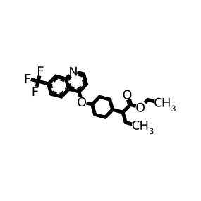 CCOC(=O)C(CC)C1CCC(Oc2ccnc3cc(C(F)(F)F)ccc23)CC1